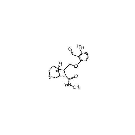 CNC(=O)C1C(COc2cccc(O)c2C=O)[C@H]2CCSCC12